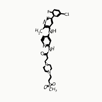 Cc1nnc(-c2cc(Cl)ccc2F)cc1Nc1ccnc(NC(=O)CCN2CCN(CCS(C)(=O)=O)CC2)c1